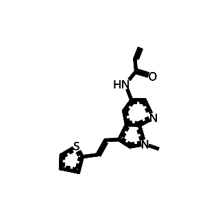 C=CC(=O)Nc1cnc2c(c1)c(C=Cc1cccs1)cn2C